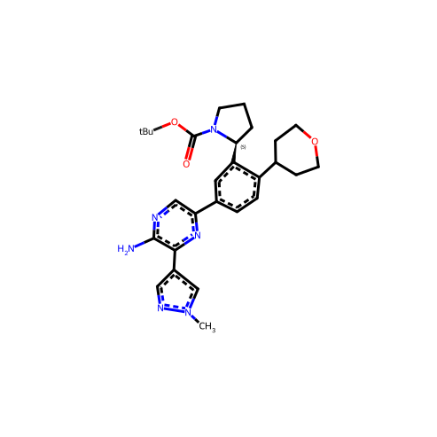 Cn1cc(-c2nc(-c3ccc(C4CCOCC4)c([C@@H]4CCCN4C(=O)OC(C)(C)C)c3)cnc2N)cn1